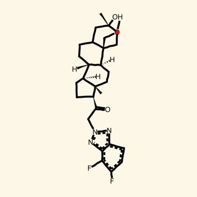 COC[C@]12CC[C@@](C)(O)CC1CC[C@@H]1[C@@H]2CC[C@]2(C)[C@@H](C(=O)Cn3nc4ccc(F)c(F)c4n3)CC[C@@H]12